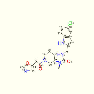 CN(C(=O)NCc1cc2cc(Cl)ccc2[nH]1)[C@@H]1CCCN(C(=O)Cc2cnco2)C1